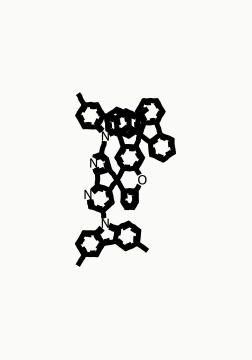 Cc1ccc2c(c1)c1cc(C)ccc1n2-c1cnc2c(c1)C1(c3ccccc3Oc3cc4c(cc31)-c1ccccc1C41c3ccccc3-c3ccccc31)c1cc(-n3c4ccc(C)cc4c4cc(C)ccc43)cnc1-2